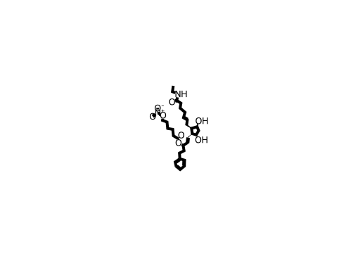 CCNC(=O)CCCC=CC[C@@H]1[C@@H](C=CC(CCc2ccccc2)OC(=O)CCCCCO[N+](=O)[O-])[C@H](O)C[C@@H]1O